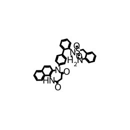 CN(c1ccccc1-c1ccc(N2C(=O)CC(=O)Nc3c2ccc2ccccc32)cc1)S(=O)(=O)Cc1ccccc1N